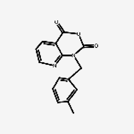 Cc1cccc(Cn2c(=O)oc(=O)c3cccnc32)c1